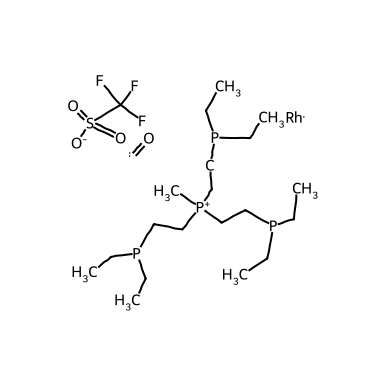 CCP(CC)CC[P+](C)(CCP(CC)CC)CCP(CC)CC.O=S(=O)([O-])C(F)(F)F.[C]=O.[Rh]